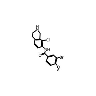 COc1ccc(C(=O)Nc2ccc3c(c2Cl)CNCC3)cc1Br